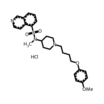 COc1ccc(OCCCCN2CCC(N(C)S(=O)(=O)c3cccc4cnccc34)CC2)cc1.Cl